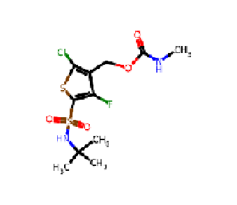 CNC(=O)OCc1c(Cl)sc(S(=O)(=O)NC(C)(C)C)c1F